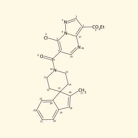 CCOC(=O)c1cnn2c(Cl)c(C(=O)N3CCC4(CC3)C(C)=Cc3ccccc34)cnc12